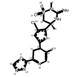 CN1C(=N)N[C@](C)(c2sc(C3CC(c4nnco4)=NC=C3F)cc2Cl)CS1(=O)=O